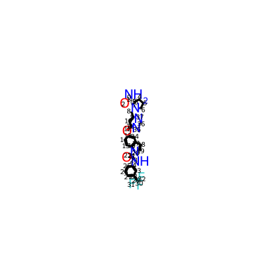 NC(=O)[C@@H]1CCCN1Cc1cc(Oc2ccc3c(ccn3C(=O)Nc3cccc(C(F)(F)F)c3)c2)ncn1